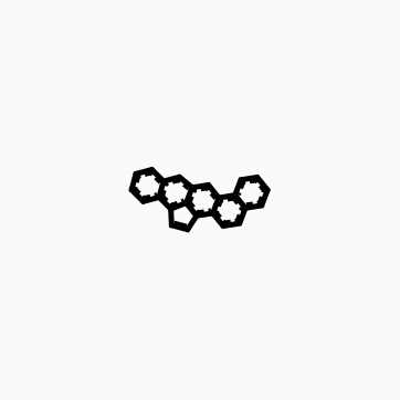 C1=Cc2c3ccc4ccccc4c3cc3cc4ccccc4c1c23